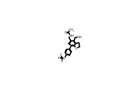 CC(=O)NCc1cc(-c2ccc(OC(F)(F)F)cc2)c2c(c1CO)CCO2